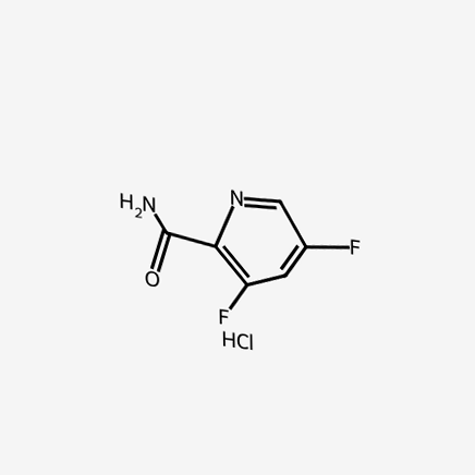 Cl.NC(=O)c1ncc(F)cc1F